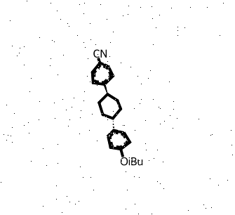 CC(C)COc1ccc([C@H]2CC[C@H](c3ccc(C#N)cc3)CC2)cc1